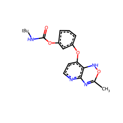 CC1=Nc2nccc(Oc3cccc(OC(=O)NC(C)(C)C)c3)c2NO1